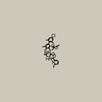 CCOC(=O)C[C@H](NC(=O)[C@H](CC(C)C)NC(=O)c1cccc(F)n1)c1cc(-c2c(C)cc(Cl)cc2C)cc(C)c1F